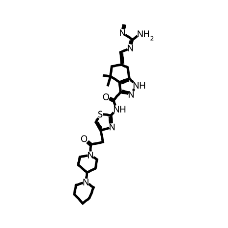 C=N/C(N)=N\C=C1/Cc2[nH]nc(C(=O)Nc3nc(CC(=O)N4CCC(N5CCCCC5)CC4)cs3)c2C(C)(C)C1